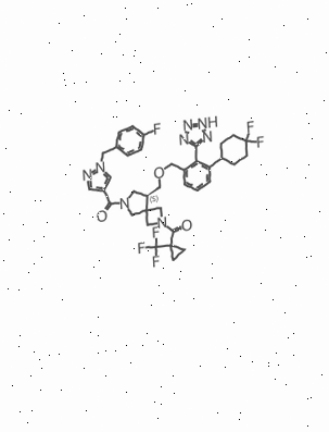 O=C(c1cnn(Cc2ccc(F)cc2)c1)N1C[C@@H](COCc2cccc(C3CCC(F)(F)CC3)c2-c2nn[nH]n2)C2(C1)CN(C(=O)C1(C(F)(F)F)CC1)C2